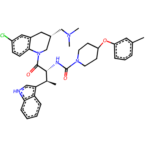 Cc1cccc(OC2CCN(C(=O)N[C@@H](C(=O)N3C[C@@H](CN(C)C)Cc4cc(Cl)ccc43)[C@@H](C)c3c[nH]c4ccccc34)CC2)c1